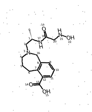 C[C@@H](CN1CCCc2c(cccc2C(=O)O)C1)NC(=O)CNO